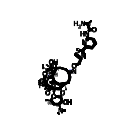 CCC(=O)/N=C1\[C@H](C)C[C@@]2(C)CC/C(=N/OCc3csc(-c4cccc(NC(=O)[C@H](C)N)n4)n3)CC[C@H]([C@H]1C)[C@](C)(O)[C@@H](I)OC(=O)[C@@](C)(F)C(=O)[C@H](C)[C@H]2O[C@@H]1O[C@H](C)C[C@H](N(C)C)[C@H]1O